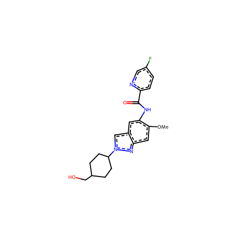 COc1cc2nn(C3CCC(CO)CC3)cc2cc1NC(=O)c1ccc(F)cn1